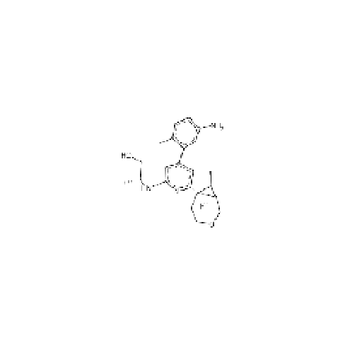 Cc1ccc(N)cc1-c1cc(N[C@H](C)CO)nc([C@@]23CCOC[C@@H]2[C@@H]3C)c1